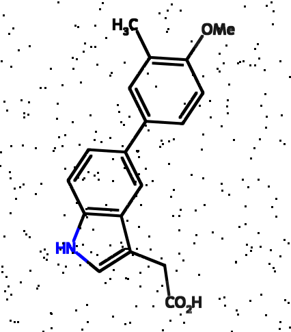 COc1ccc(-c2ccc3[nH]cc(CC(=O)O)c3c2)cc1C